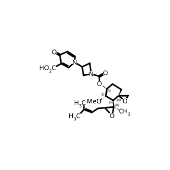 CO[C@@H]1[C@H](OC(=O)N2CC(n3ccc(=O)c(C(=O)O)c3)C2)CC[C@]2(CO2)[C@H]1[C@@]1(C)OC1CC=C(C)C